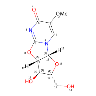 COc1cn2c(nc1=O)O[C@H]1[C@H](O)[C@@H](CO)O[C@H]12